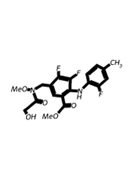 COC(=O)c1cc(CN(OC)C(=O)CO)c(F)c(F)c1Nc1ccc(C)cc1F